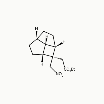 CCOC(=O)C[C@]1(C[N+](=O)[O-])[C@@H]2CC[C@@H]3CC[C@H]1[C@@H]32